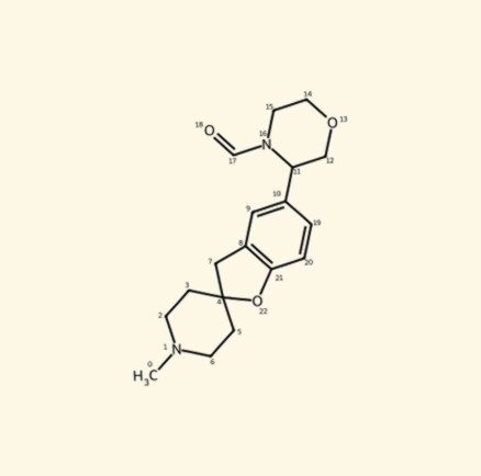 CN1CCC2(CC1)Cc1cc(C3COCCN3C=O)ccc1O2